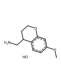 COc1ccc2c(c1)OCCC2CN.Cl